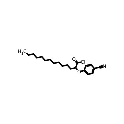 CCCCCCCCCCCCC(Oc1ccc(C#N)cc1)C(=O)Cl